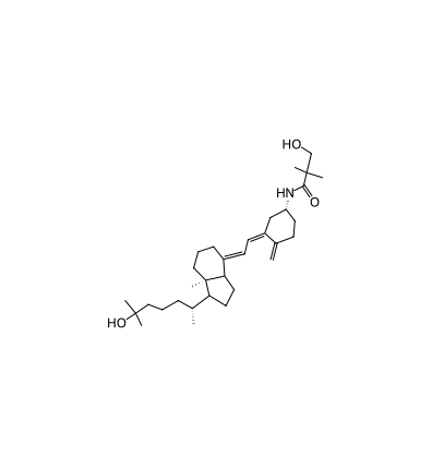 C=C1CC[C@@H](NC(=O)C(C)(C)CO)C/C1=C/C=C1\CCC[C@@]2(C)C1CCC2[C@H](C)CCCC(C)(C)O